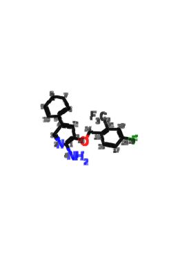 Nc1ncc(C2=CC[CH]C=C2)cc1OCc1ccc(F)cc1C(F)(F)F